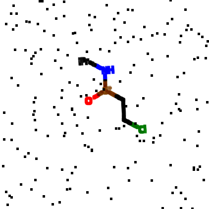 CC(C)N[S+]([O-])CCCl